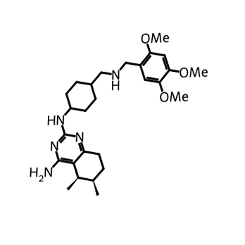 COc1cc(OC)c(OC)cc1CNCC1CCC(Nc2nc(N)c3c(n2)CC[C@@H](C)[C@H]3C)CC1